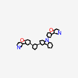 c1cc(-c2ccc3oc4ccncc4c3c2)cc(-c2ccc3c(c2)c2ccccc2n3-c2ccc3oc4ccncc4c3c2)c1